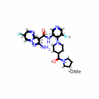 CO[C@H]1CCN(C(=O)C2CCN(c3c(F)cncc3NC(=O)c3c(N)nn4cc(F)cnc34)CC2)C1